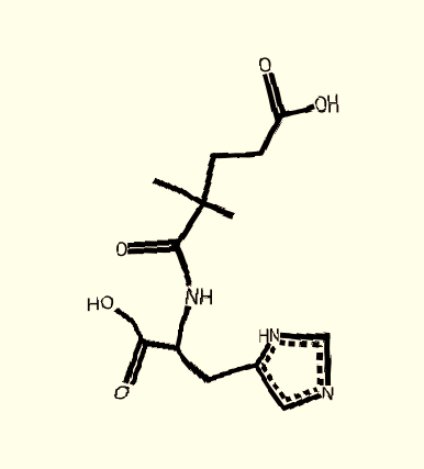 CC(C)(CCC(=O)O)C(=O)NC(Cc1cnc[nH]1)C(=O)O